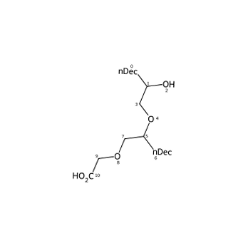 CCCCCCCCCCC(O)COC(CCCCCCCCCC)COCC(=O)O